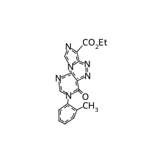 CCOC(=O)c1ncn2c1nnc1c(=O)n(-c3ccccc3C)cnc12